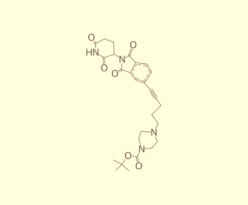 CC(C)(C)OC(=O)N1CCN(CCCC#Cc2ccc3c(c2)C(=O)N(C2CCC(=O)NC2=O)C3=O)CC1